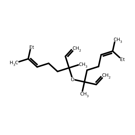 C=CC(C)(CC/C=C(/C)CC)OC(C)(C=C)CC/C=C(/C)CC